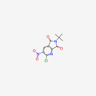 CC(C)(C)N1C(=O)c2cc([N+](=O)[O-])c(Cl)nc2C1=O